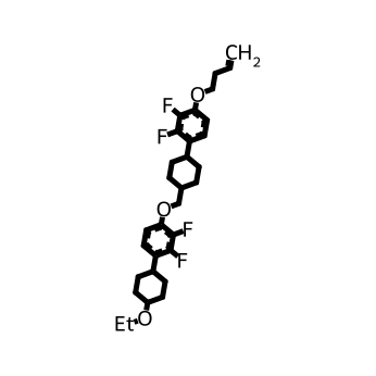 C=CCCOc1ccc(C2CCC(COc3ccc(C4CCC(OCC)CC4)c(F)c3F)CC2)c(F)c1F